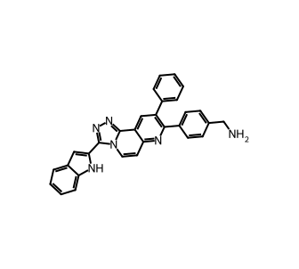 NCc1ccc(-c2nc3ccn4c(-c5cc6ccccc6[nH]5)nnc4c3cc2-c2ccccc2)cc1